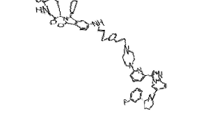 O=C1CCC(N2C(=O)c3ccc(NCCCOCCN4CCN(c5cccc(-c6cnc7ccc(N8CCC[C@@H]8c8cccc(F)c8)cn67)n5)CC4)cc3C2=O)C(=O)N1